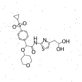 O=C(Nc1nc(CC(O)O)cs1)C(OC1CCOCC1)c1ccc(S(=O)(=O)C2CC2)cc1